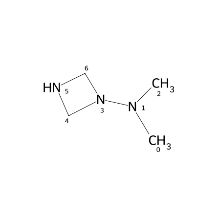 CN(C)N1CNC1